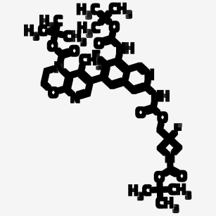 Cc1c(-c2cc3cc(NC(=O)OCC4(F)CN(C(=O)OC(C)(C)C)C4)ncc3c(NC(=O)OC(C)(C)C)c2F)cnc2c1N(C(=O)OC(C)(C)C)CCO2